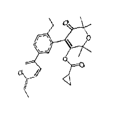 C=C(/C=C\C(Cl)=C/C)c1ccc(CC)c(C2=C(OC(=O)C3CC3)C(C)(C)OC(C)(C)C2=O)c1